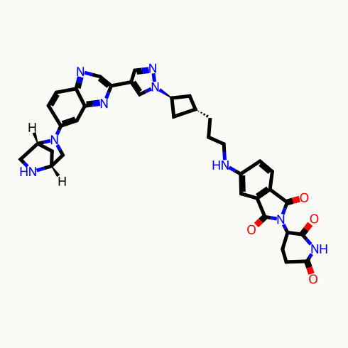 O=C1CCC(N2C(=O)c3ccc(NCCC[C@H]4C[C@H](n5cc(-c6cnc7ccc(N8C[C@H]9C[C@@H]8CN9)cc7n6)cn5)C4)cc3C2=O)C(=O)N1